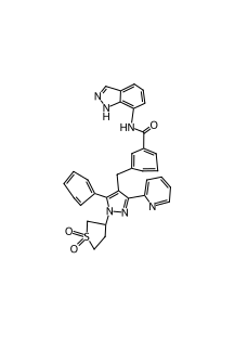 O=C(Nc1cccc2cn[nH]c12)c1cccc(Cc2c(-c3ccccn3)nn(C3CCS(=O)(=O)C3)c2-c2ccccc2)c1